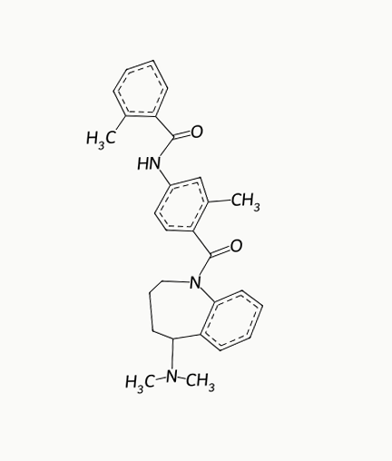 Cc1ccccc1C(=O)Nc1ccc(C(=O)N2CCCC(N(C)C)c3ccccc32)c(C)c1